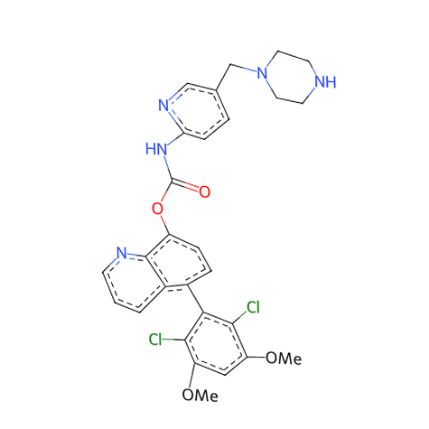 COc1cc(OC)c(Cl)c(-c2ccc(OC(=O)Nc3ccc(CN4CCNCC4)cn3)c3ncccc23)c1Cl